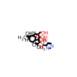 CC1=C[C@]23C(=O)[C@@H](C=C(CO)[C@@H](O)[C@]2(O)[C@H]1OC(=O)c1ncncc1Br)[C@H]1[C@@H](C[C@H]3C)C1(C)C